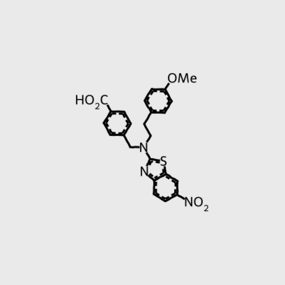 COc1ccc(CCN(Cc2ccc(C(=O)O)cc2)c2nc3ccc([N+](=O)[O-])cc3s2)cc1